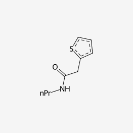 [CH2]CCNC(=O)Cc1cccs1